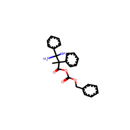 CC(C(=O)OC(=O)OCc1ccccc1)(c1ccccc1)C(N)(N)c1ccccc1